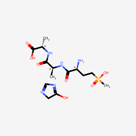 C[C@H](NC(=O)[C@H](C)NC(=O)[C@@H](N)CCP(C)(=O)O)C(=O)O.OC1=NC=NC1